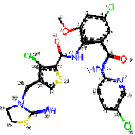 COc1cc(Cl)cc(C(=O)Nc2ccc(Cl)cn2)c1NC(=O)c1scc(CN2CCSC2=N)c1Cl